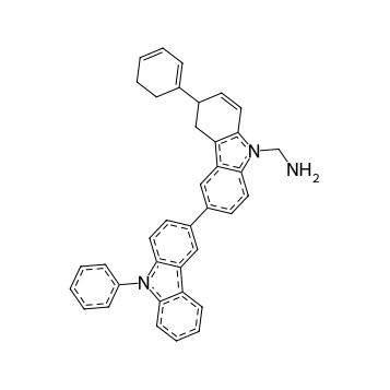 NCn1c2c(c3cc(-c4ccc5c(c4)c4ccccc4n5-c4ccccc4)ccc31)CC(C1=CC=CCC1)C=C2